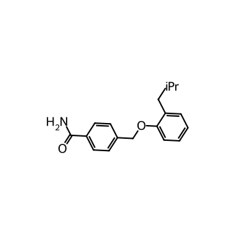 CC(C)Cc1ccccc1OCc1ccc(C(N)=O)cc1